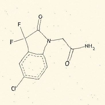 NC(=O)CN1C(=O)C(F)(F)c2cc(Cl)ccc21